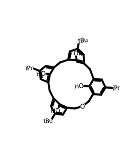 CC(C)c1cc2c(O)c(c1)Cc1cc(C(C)(C)C)cc(c1O)Cc1cc(C(C)C)cc(c1O)Cc1cc(C(C)(C)C)cc(c1O)COC2